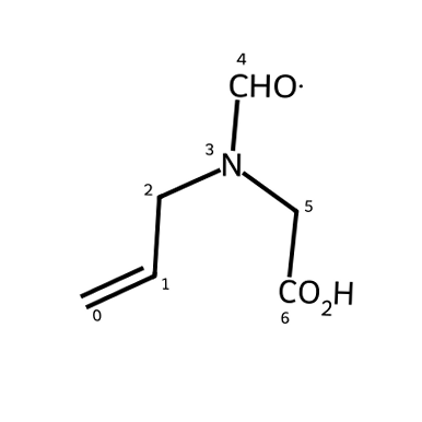 C=CCN([C]=O)CC(=O)O